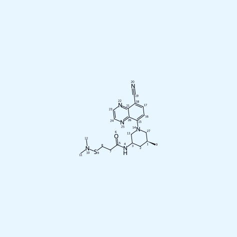 C[C@H]1CC(NC(=O)CCSN(C)C)CN(c2ccc(C#N)c3nccnc23)C1